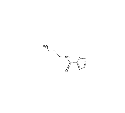 NCCCNC(=O)c1cccs1